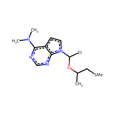 CCC(OC(C)CSC)n1ccc2c(N(C)C)ncnc21